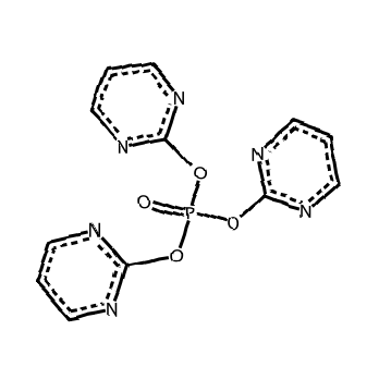 O=P(Oc1ncccn1)(Oc1ncccn1)Oc1ncccn1